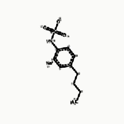 CCCCc1ccc(NS(=O)(=O)[O-])cc1.[Na+]